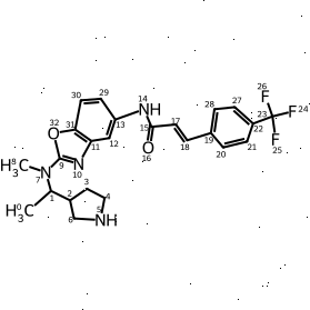 CC(C1CCNC1)N(C)c1nc2cc(NC(=O)C=Cc3ccc(C(F)(F)F)cc3)ccc2o1